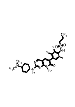 CC(C)n1c(=O)c(-c2cc(F)c(NS(=O)(=O)CCC(F)(F)F)c(F)c2F)cc2cnc(N[C@H]3CC[C@H](N(C)C)CC3)nc21